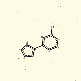 Clc1cccc(-c2[c]ccs2)c1